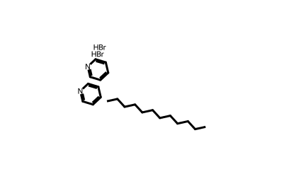 Br.Br.CCCCCCCCCCCC.c1ccncc1.c1ccncc1